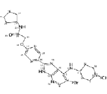 CN1CCC(Nc2c(Br)cnc3[nH]c(-c4ccc(OCC(=O)NC5CCCC5)cc4)nc23)CC1